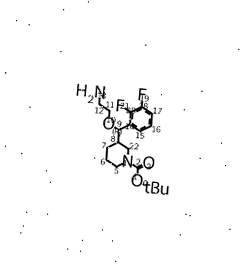 CC(C)(C)OC(=O)N1CCCC([C@@H](OCCN)c2cccc(F)c2F)C1